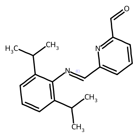 CC(C)c1cccc(C(C)C)c1/N=C/c1cccc(C=O)n1